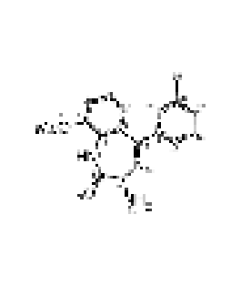 COc1cccc2c1NC(=O)C(N)N=C2c1cccc(C)c1